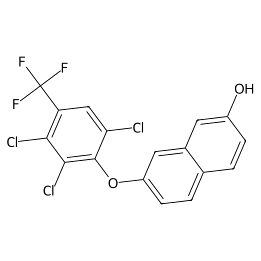 Oc1ccc2ccc(Oc3c(Cl)cc(C(F)(F)F)c(Cl)c3Cl)cc2c1